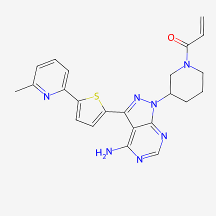 C=CC(=O)N1CCCC(n2nc(-c3ccc(-c4cccc(C)n4)s3)c3c(N)ncnc32)C1